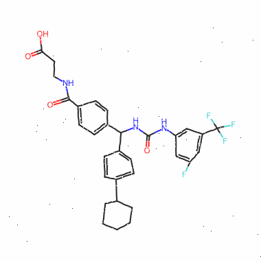 O=C(O)CCNC(=O)c1ccc(C(NC(=O)Nc2cc(F)cc(C(F)(F)F)c2)c2ccc(C3CCCCC3)cc2)cc1